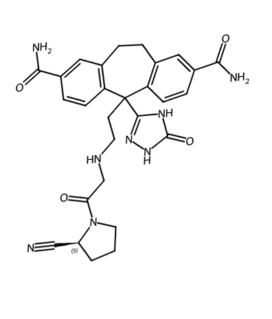 N#C[C@@H]1CCCN1C(=O)CNCCC1(c2n[nH]c(=O)[nH]2)c2ccc(C(N)=O)cc2CCc2cc(C(N)=O)ccc21